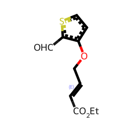 CCOC(=O)/C=C/COc1ccsc1C=O